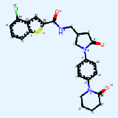 O=C(NCC1CC(=O)N(c2ccc(N3CCCCC3=O)cc2)C1)c1cc2c(Cl)cccc2s1